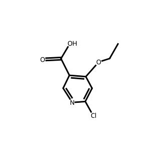 CCOc1cc(Cl)ncc1C(=O)O